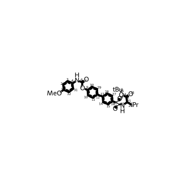 COc1ccc(NC(=O)Oc2ccc(-c3ccc(S(=O)(=O)NC(C(=O)OC(C)(C)C)C(C)C)cc3)cc2)cc1